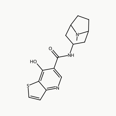 CN1C2CCC1CC(NC(=O)c1cnc3ccsc3c1O)C2